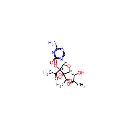 CC(=O)C(O)[C@H]1O[C@@H](n2cnc(N)nc2=O)[C@@](O)(C(C)=O)[C@@]1(O)C(C)=O